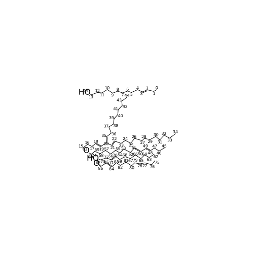 CCC=CCCCCCCCCCCO.CCCC=CC(C=CCCCCCCCCCCCC)=CCCCCCCCCC.CCCC=CC=CCCCCCCCCC=O.CCCCCCCCC=CCCO.CCCCCCCCCC=CC=O